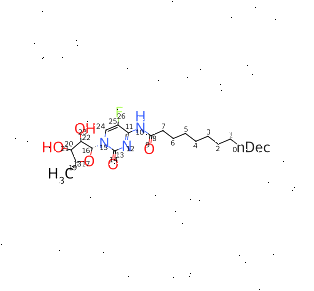 CCCCCCCCCCCCCCCCCC(=O)Nc1nc(=O)n([C@@H]2O[C@H](C)C(O)C2O)cc1F